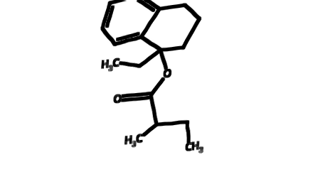 CCC(C)C(=O)OC1(CC)CCCc2ccccc21